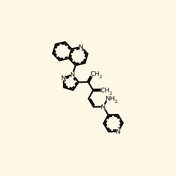 C=C(/C=C\N(N)c1ccncc1)C(=C)c1ccnn1-c1ccnc2ccccc12